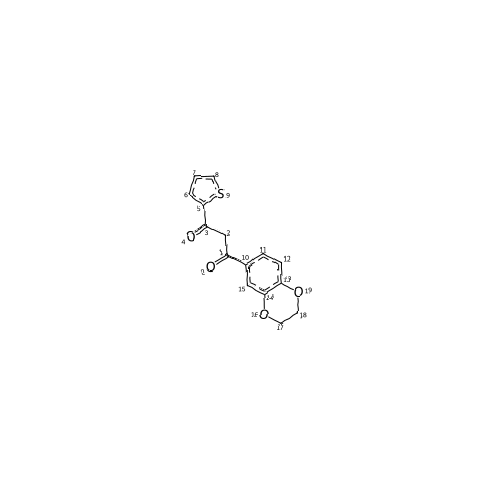 O=C(CC(=O)c1cccs1)c1ccc2c(c1)OCCO2